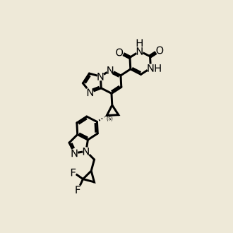 O=c1[nH]cc(-c2cc(C3C[C@@H]3c3ccc4cnn(CC5CC5(F)F)c4c3)c3nccn3n2)c(=O)[nH]1